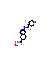 CC1(C(=O)Nc2ccc3c(c2)CCC(C(=O)NO)C3)CCNCC1